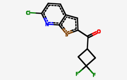 O=C(c1cc2ccc(Cl)nc2s1)C1CC(F)(F)C1